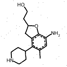 Cc1cc(N)c2c(c1C1CCNCC1)CC(CCO)O2